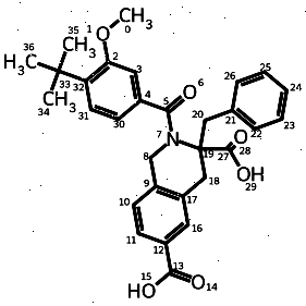 COc1cc(C(=O)N2Cc3ccc(C(=O)O)cc3CC2(Cc2ccccc2)C(=O)O)ccc1C(C)(C)C